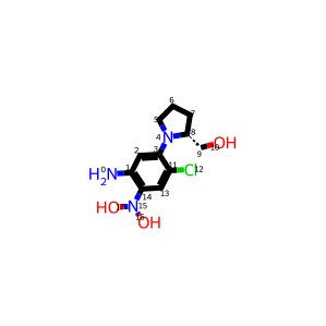 Nc1cc(N2CCC[C@@H]2CO)c(Cl)cc1N(O)O